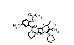 Cc1ccc(N[S+](C)[O-])c(C(=O)N2CCCC[C@H]2c2cc3nc(C)c(C)c(N4CCOCC4)n3n2)c1